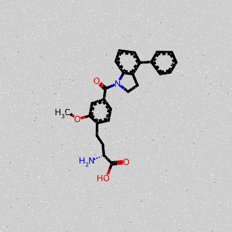 COc1cc(C(=O)N2CCc3c(-c4ccccc4)cccc32)ccc1CC[C@@H](N)C(=O)O